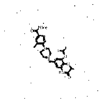 CNC(=O)c1ccc(N2CCN(Cc3cc4c(c(OC(F)F)c3)OC(C)C(=O)N4)CC2)c(C)c1